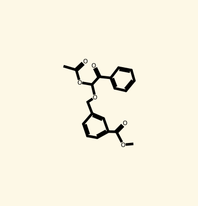 COC(=O)c1cccc(COC(OC(C)=O)C(=O)c2ccccc2)c1